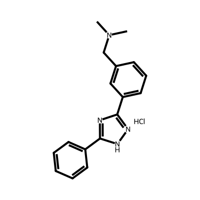 CN(C)Cc1cccc(-c2n[nH]c(-c3ccccc3)n2)c1.Cl